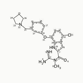 CN(C(=N)N)C(=O)c1cc2c(Cl)ccc(Oc3cccc(CN4CCCC4)c3)c2[nH]1